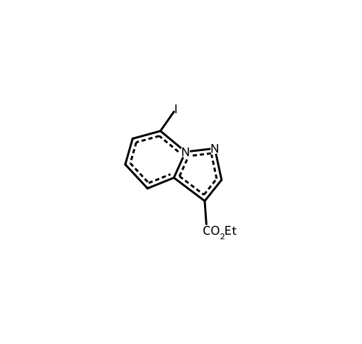 CCOC(=O)c1cnn2c(I)cccc12